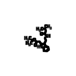 CC(C)CC(=O)NCCc1c(CC(=O)OC(C)C)[nH]c2ccccc12